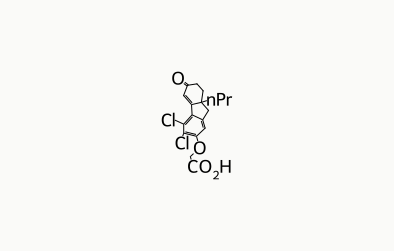 CCCC12CCC(=O)C=C1c1c(cc(OCC(=O)O)c(Cl)c1Cl)C2